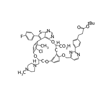 Cc1c2ccc(c1Cl)O[C@H](CN1CCN(C)CC1)COc1ccc(OCc3ccnc(-c4ccc(CCC(=O)OC(C)(C)C)cc4)n3)c(c1)C[C@H](C(=O)O)Oc1ncnc3sc(-c4ccc(F)cc4)c-2c13